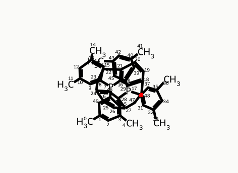 Cc1cc(C)cc(P(c2cc(C)cc(C)c2)c2cc3ccc2CCc2ccc(c(P(c4cc(C)cc(C)c4)c4cc(C)cc(C)c4)c2)CC3)c1